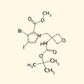 COC(=O)c1c(Br)c(I)cn1CC1(NC(=O)OC(C)(C)C)COC1